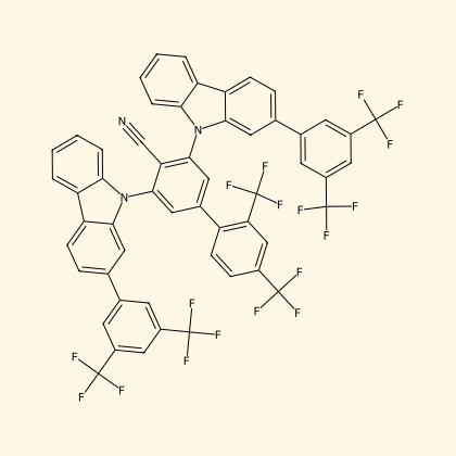 N#Cc1c(-n2c3ccccc3c3ccc(-c4cc(C(F)(F)F)cc(C(F)(F)F)c4)cc32)cc(-c2ccc(C(F)(F)F)cc2C(F)(F)F)cc1-n1c2ccccc2c2ccc(-c3cc(C(F)(F)F)cc(C(F)(F)F)c3)cc21